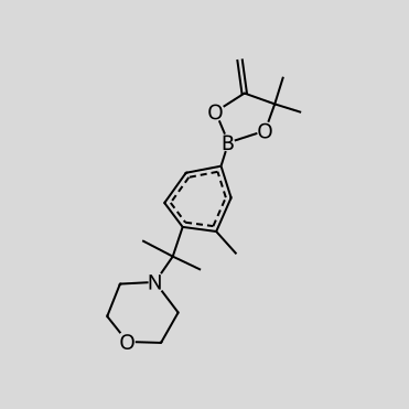 C=C1OB(c2ccc(C(C)(C)N3CCOCC3)c(C)c2)OC1(C)C